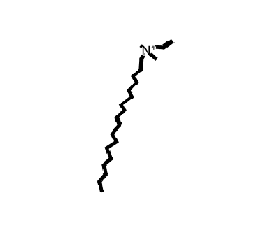 C=CC[N+](C)(C)CCCCCCCCC=CCCCCCCCC